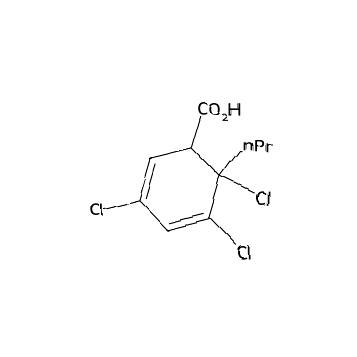 CCCC1(Cl)C(Cl)=CC(Cl)=CC1C(=O)O